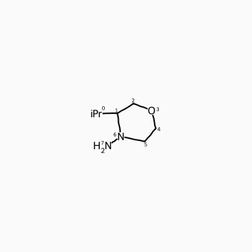 CC(C)C1COCCN1N